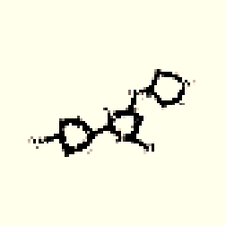 O=[N+]([O-])c1ccc(-c2nc(Cl)cc(NC3CCOCC3)n2)cc1